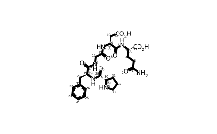 NC(=O)CC[C@H](NC(=O)[C@H](CC(=O)O)NC(=O)CNC(=O)[C@H](Cc1ccccc1)NC(=O)[C@@H]1CCCN1)C(=O)O